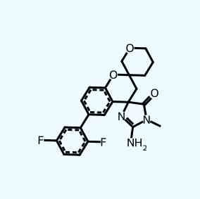 CN1C(=O)C2(CC3(CCCOC3)Oc3ccc(-c4cc(F)ccc4F)cc32)N=C1N